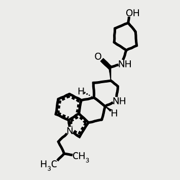 CC(C)Cn1cc2c3c(cccc31)[C@H]1C[C@@H](C(=O)NC3CCC(O)CC3)CN[C@@H]1C2